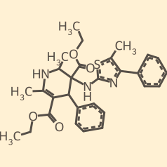 CCOC(=O)C1=C(C)NC(C)C(Nc2nc(-c3ccccc3)c(C)s2)(C(=O)OCC)C1c1ccccc1